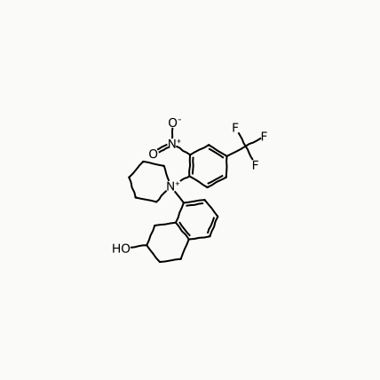 O=[N+]([O-])c1cc(C(F)(F)F)ccc1[N+]1(c2cccc3c2CC(O)CC3)CCCCC1